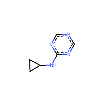 c1ncnc(NC2CC2)n1